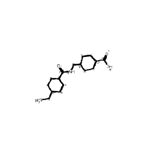 NCC1CCC(C(=O)NCC2CCC(C(=O)O)CC2)CC1